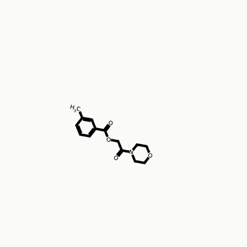 Cc1[c]c(C(=O)OCC(=O)N2CCOCC2)ccc1